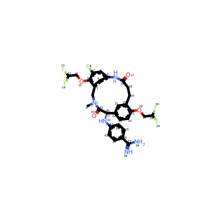 CN1Cc2cc(cc(F)c2OCC(F)F)NC(=O)CCc2cc(ccc2OCC(F)F)[C@@H](Nc2ccc(C(=N)N)cc2)C1=O